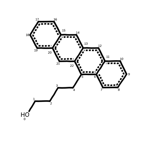 OCCCCc1c2ccccc2cc2cc3ccccc3cc12